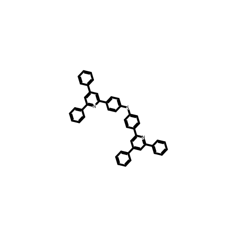 c1ccc(-c2cc(-c3ccccc3)nc(-c3ccc(Sc4ccc(-c5cc(-c6ccccc6)cc(-c6ccccc6)n5)cc4)cc3)c2)cc1